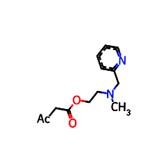 CC(=O)CC(=O)OCCN(C)Cc1ccccn1